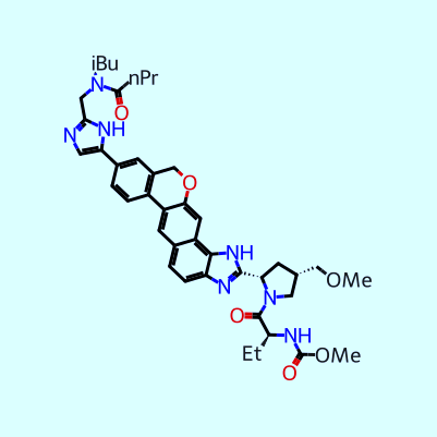 CCCC(=O)N(Cc1ncc(-c2ccc3c(c2)COc2cc4c(ccc5nc([C@@H]6C[C@H](COC)CN6C(=O)[C@H](CC)NC(=O)OC)[nH]c54)cc2-3)[nH]1)[C@@H](C)CC